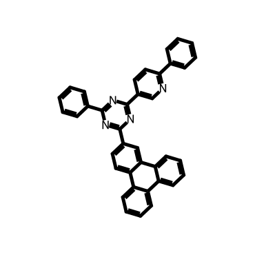 c1ccc(-c2ccc(-c3nc(-c4ccccc4)nc(-c4ccc5c6ccccc6c6ccccc6c5c4)n3)cn2)cc1